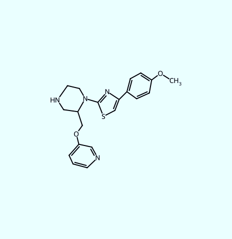 COc1ccc(-c2csc(N3CCNCC3COc3cccnc3)n2)cc1